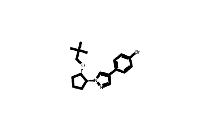 CC(C)(C)CO[C@H]1CCC[C@@H]1n1cc(-c2ccc(Br)cc2)cn1